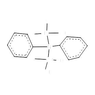 C[PH](C)(C)[Ni]([c]1ccccc1)([c]1ccccc1)[PH](C)(C)C